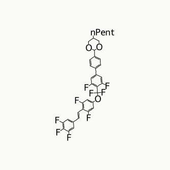 CCCCCC1COC(c2ccc(-c3cc(F)c(C(F)(F)Oc4cc(F)c(/C=C/c5cc(F)c(F)c(F)c5)c(F)c4)c(F)c3)cc2)OC1